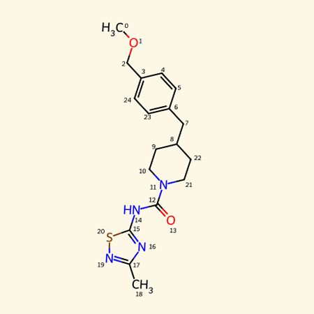 COCc1ccc(CC2CCN(C(=O)Nc3nc(C)ns3)CC2)cc1